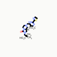 CCOC(=O)C1=C(CN2CCN3C(=O)N(CC(C)(C)C(=O)O)C[C@@H]3C2)NC(c2nccs2)=NC1